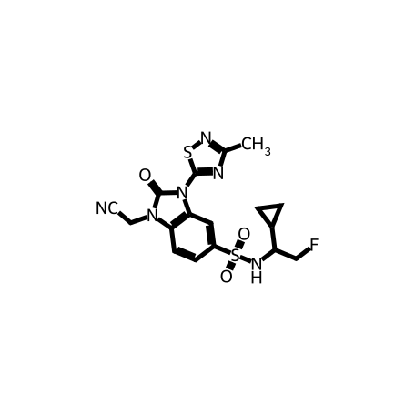 Cc1nsc(-n2c(=O)n(CC#N)c3ccc(S(=O)(=O)NC(CF)C4CC4)cc32)n1